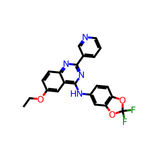 CCOc1ccc2nc(-c3cccnc3)nc(Nc3ccc4c(c3)OC(F)(F)O4)c2c1